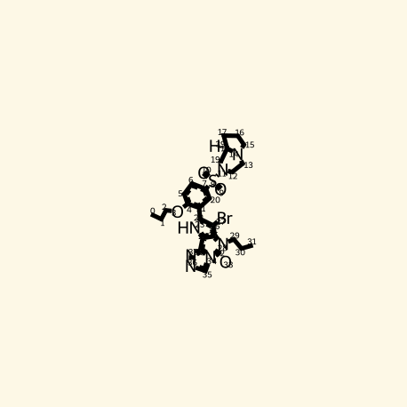 CCCOc1ccc(S(=O)(=O)N2CCN3CCC[C@@H]3C2)cc1-c1[nH]c2c(c1Br)n(CCC)c(=O)n1cnnc21